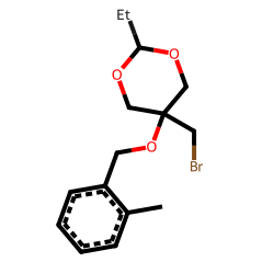 CCC1OCC(CBr)(OCc2ccccc2C)CO1